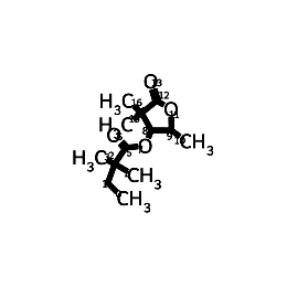 CCC(C)(C)C(=O)OC1C(C)OC(=O)C1(C)C